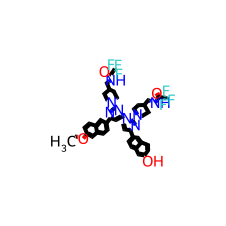 CCOc1ccc2cc(-c3ccnc(N4CCC(CNC(=O)C(F)(F)F)CC4)n3)ccc2c1.O=C(NCC1CCN(c2nccc(-c3ccc4cc(O)ccc4c3)n2)CC1)C(F)(F)F